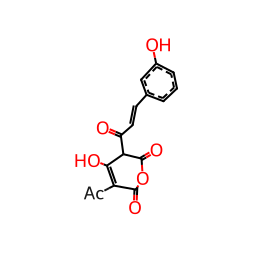 CC(=O)C1=C(O)C(C(=O)/C=C/c2cccc(O)c2)C(=O)OC1=O